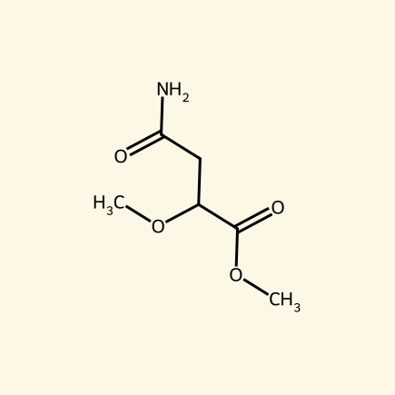 COC(=O)C(CC(N)=O)OC